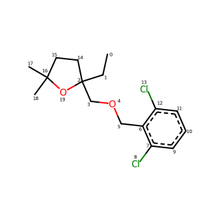 CCC1(COCc2c(Cl)cccc2Cl)CCC(C)(C)O1